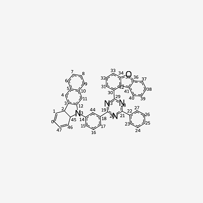 C1=CC2c3cc4ccccc4cc3N(c3cccc(-c4nc(-c5ccccc5)nc(-c5cccc6oc7ccccc7c56)n4)c3)C2C=C1